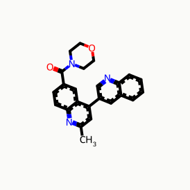 Cc1cc(-c2cnc3ccccc3c2)c2cc(C(=O)N3CCOCC3)ccc2n1